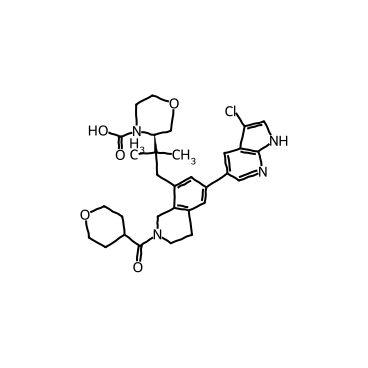 CC(C)(Cc1cc(-c2cnc3[nH]cc(Cl)c3c2)cc2c1CN(C(=O)C1CCOCC1)CC2)[C@@H]1COCCN1C(=O)O